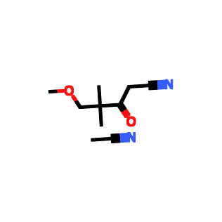 CC#N.COCC(C)(C)C(=O)CC#N